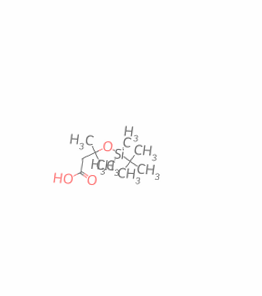 CC(C)(CC(=O)O)O[Si](C)(C)C(C)(C)C